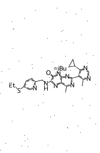 CCSc1ccc(CNc2nc3c(C)nc(-c4c(C)ncnc4C4CC4)nc3n([C@@H](C)CC)c2=O)nc1